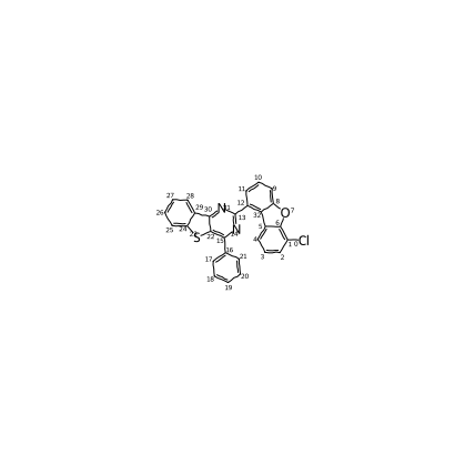 Clc1cccc2c1oc1cccc(-c3nc(-c4ccccc4)c4sc5ccccc5c4n3)c12